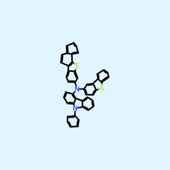 c1ccc(-n2c3ccccc3c3c(N(c4ccc5c(c4)sc4c6ccccc6ccc54)c4ccc5sc6ccccc6c5c4)cccc32)cc1